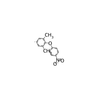 Cc1c[c]cc(C)c1Oc1ccc([N+](=O)[O-])cc1